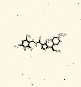 C/C=C(/c1scc(C(=O)NCc2c(C)cc(C)[nH]c2=O)c1C)C1CCN(C(=O)O)CC1